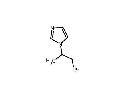 CC(C)CC(C)n1ccnc1